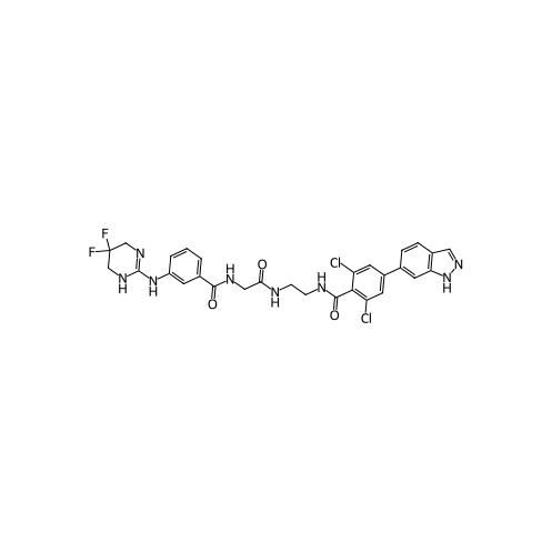 O=C(CNC(=O)c1cccc(NC2=NCC(F)(F)CN2)c1)NCCNC(=O)c1c(Cl)cc(-c2ccc3cn[nH]c3c2)cc1Cl